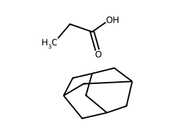 C1C2CC3CC1CC(C2)C3.CCC(=O)O